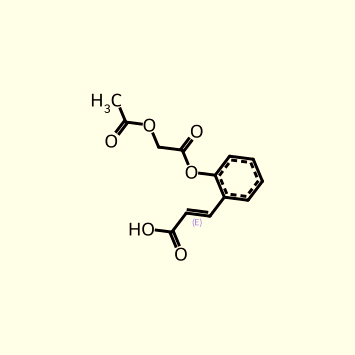 CC(=O)OCC(=O)Oc1ccccc1/C=C/C(=O)O